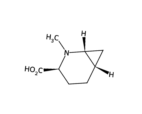 CN1[C@@H]2C[C@@H]2CC[C@H]1C(=O)O